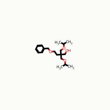 CC(C)OCC(CO)(CCOCc1ccccc1)COC(C)C